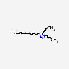 CCCCCCCCCCC[n+]1ccn(CCCC)c1CCCC